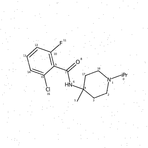 CC(C)N1CCC(C)(NC(=O)c2c(F)cccc2Cl)CC1